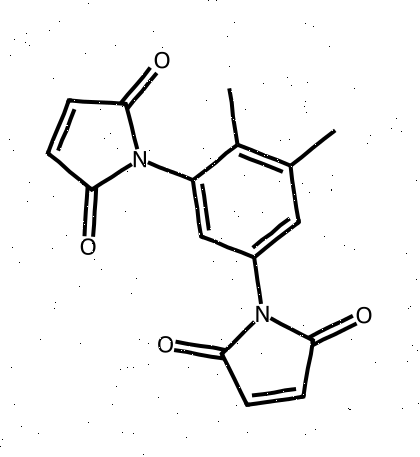 Cc1cc(N2C(=O)C=CC2=O)cc(N2C(=O)C=CC2=O)c1C